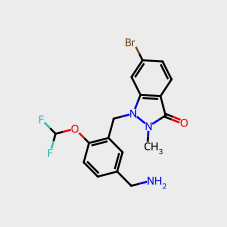 Cn1c(=O)c2ccc(Br)cc2n1Cc1cc(CN)ccc1OC(F)F